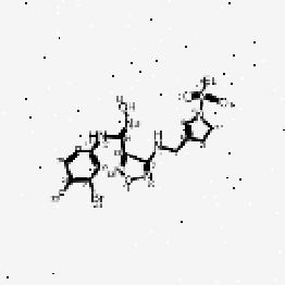 CCS(=O)(=O)N1C=C(CNc2nonc2/C(=N/O)Nc2ccc(F)c(Br)c2)CC1